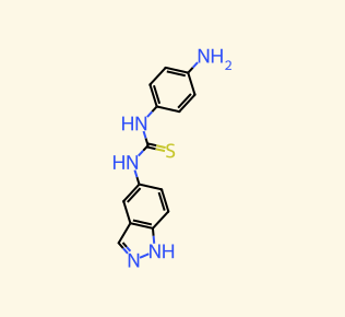 Nc1ccc(NC(=S)Nc2ccc3[nH]ncc3c2)cc1